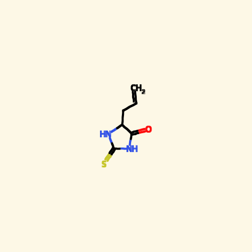 C=CCC1NC(=S)NC1=O